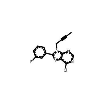 CC#CCn1c(-c2cccc(F)c2)nc2c(Cl)ncnc21